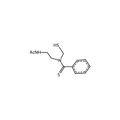 CC(=O)NCCN(CS)C(=S)c1ccccc1